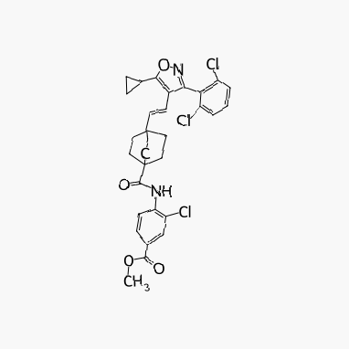 COC(=O)c1ccc(NC(=O)C23CCC(C=Cc4c(-c5c(Cl)cccc5Cl)noc4C4CC4)(CC2)CC3)c(Cl)c1